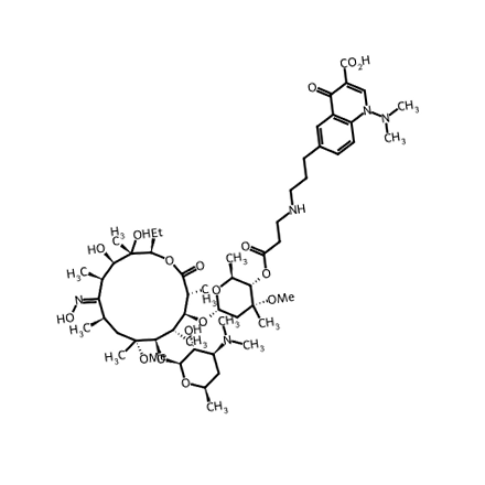 CC[C@H]1OC(=O)[C@H](C)[C@@H](O[C@H]2C[C@@](C)(OC)[C@@H](OC(=O)CCNCCCc3ccc4c(c3)c(=O)c(C(=O)O)cn4N(C)C)[C@H](C)O2)[C@H](C)[C@@H](O[C@@H]2O[C@H](C)C[C@H](N(C)C)[C@H]2O)[C@](C)(OC)C[C@@H](C)/C(=N\O)[C@@H](C)[C@@H](O)[C@]1(C)O